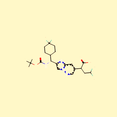 CC(C)(C)OC(=O)N[C@H](c1cn2ncc(C(CC(F)F)C(=O)O)cc2n1)C1CCC(F)(F)CC1